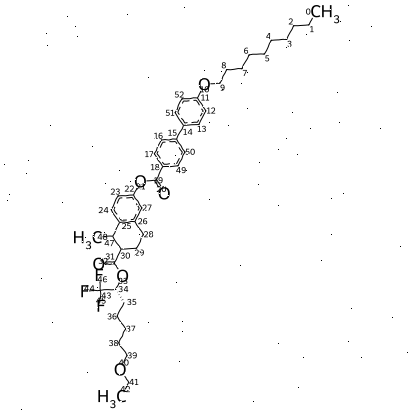 CCCCCCCCCCOc1ccc(-c2ccc(C(=O)Oc3ccc4c(c3)CCC(C(=O)O[C@H](CCCCCOCC)C(F)(F)F)C4C)cc2)cc1